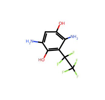 Nc1cc(O)c(N)c(C(F)(F)C(F)(F)F)c1O